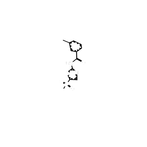 Cc1cccc(C(=O)Nc2ncc(S(C)(=O)=O)s2)c1